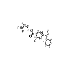 CCN(c1ccccc1)c1ncc(C(=O)OCCC(C)=C(F)F)c(C)n1